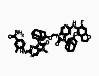 Cc1cc(C(N)=O)ccc1Nc1ncc2c(n1)n(C13CC4CC(CC(OCn5c(=O)n(C67CC8CC(CC(C#N)(C8)C6)C7)c6nc(NC7=CC8CCOC8C=C7F)ncc65)(C4)C1)C3)c(=O)n2C